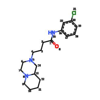 O=C(CCCN1CCN2CCCCC2C1)Nc1cccc(Cl)c1